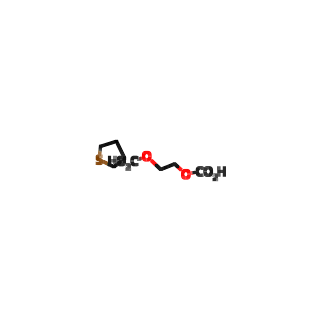 C1CCSC1.O=C(O)OCCOC(=O)O